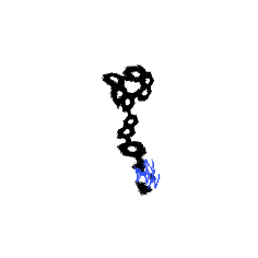 c1cc2ccc3cccc4c5cc(-c6ccc7cc(-c8ccc(-c9cn%10cccnc%10n9)cc8)ccc7c6)cc6ccc7cccc(c(c1)c2c34)c7c65